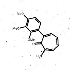 COc1ccc(-c2ccccc(N)c2=O)c(OC)c1OC